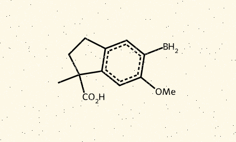 Bc1cc2c(cc1OC)C(C)(C(=O)O)CC2